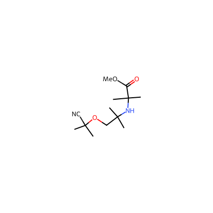 COC(=O)C(C)(C)NC(C)(C)COC(C)(C)C#N